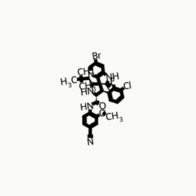 COc1cc(C#N)ccc1NC(=O)[C@@H]1N[C@@H](CC(C)(C)C)[C@@]2(C(=O)Nc3cc(Br)cnc32)[C@H]1c1cccc(Cl)c1F